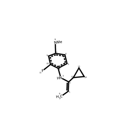 C/C=C(\Nc1ccc(NC)cc1F)C1CC1